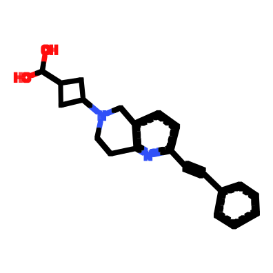 OC(O)C1CC(N2CCc3nc(C#Cc4ccccc4)ccc3C2)C1